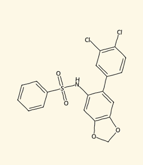 O=S(=O)(Nc1cc2c(cc1-c1ccc(Cl)c(Cl)c1)OCO2)c1ccccc1